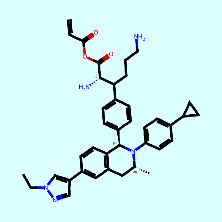 C=CC(=O)OC(=O)[C@@H](N)C(CCCN)c1ccc([C@@H]2c3ccc(-c4cnn(CC)c4)cc3C[C@@H](C)N2c2ccc(C3CC3)cc2)cc1